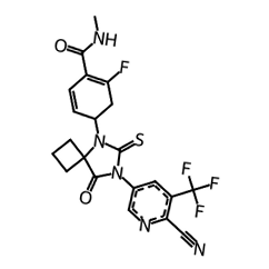 CNC(=O)C1=C(F)CC(N2C(=S)N(c3cnc(C#N)c(C(F)(F)F)c3)C(=O)C23CCC3)C=C1